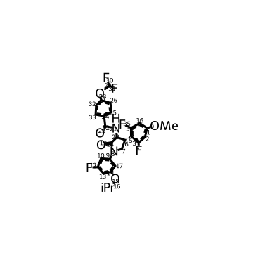 COc1cc(F)c([C@@H]2CN(c3cc(F)cc(OC(C)C)c3)C(=O)C2NC(=O)c2ccc(OC(F)F)cc2)c(F)c1